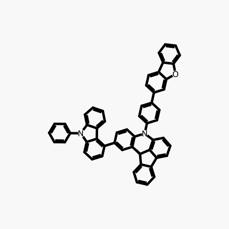 CC12c3ccccc3-c3cccc(c31)N(c1ccc(-c3ccc4c(c3)oc3ccccc34)cc1)c1ccc(-c3cccc4c3c3ccccc3n4-c3ccccc3)cc12